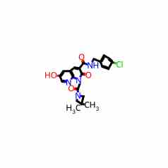 CC1(C)CN(C(=O)Cn2c(=O)c(C(=O)NCc3ccc(Cl)cc3)cc3cc(O)cnc32)C1